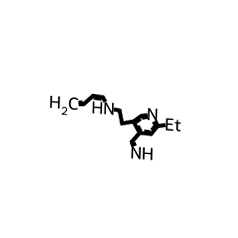 C=C/C=C\NCCc1cnc(CC)cc1C=N